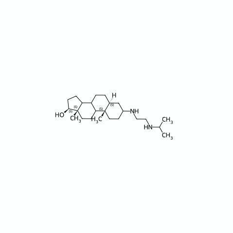 CC(C)NCCNC1CC[C@]2(C)C3CC[C@@]4(C)C(CC[C@@H]4O)C3CC[C@H]2C1